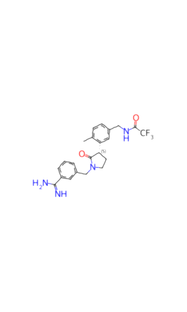 Cc1ccc(CNC(=O)C(F)(F)F)cc1[C@@H]1CCN(Cc2cccc(C(=N)N)c2)C1=O